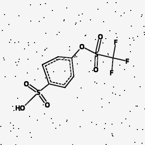 O=S(=O)(O)c1ccc(OS(=O)(=O)C(F)(F)F)cc1